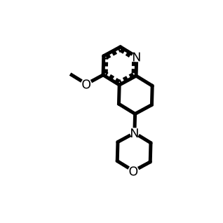 COc1ccnc2c1CC(N1CCOCC1)CC2